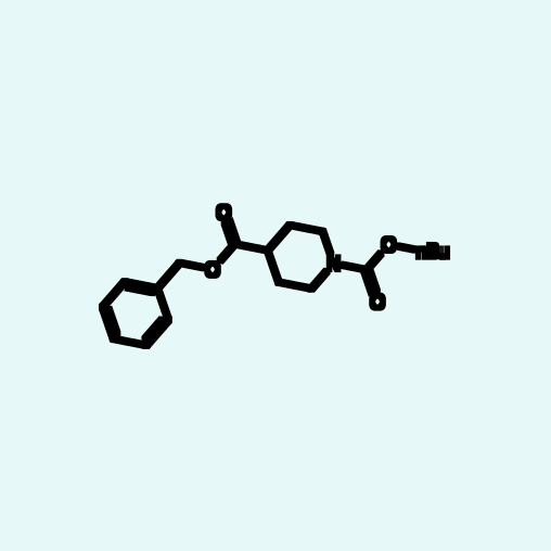 CCCCOC(=O)N1CCC(C(=O)OCc2ccccc2)CC1